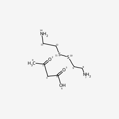 CC(=O)CC(=O)O.NCCSSCCN